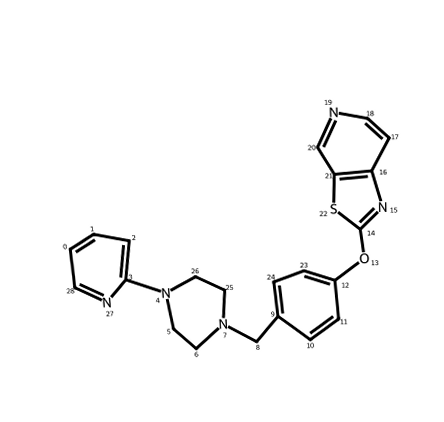 c1ccc(N2CCN(Cc3ccc(Oc4nc5ccncc5s4)cc3)CC2)nc1